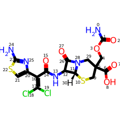 NC(=O)OCC1(C(=O)O)CS[C@@H]2C(NC(=O)C(=C(Cl)Cl)c3csc(N)n3)C(=O)N2C1